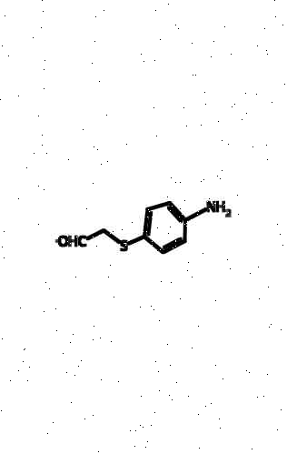 Nc1ccc(SC[C]=O)cc1